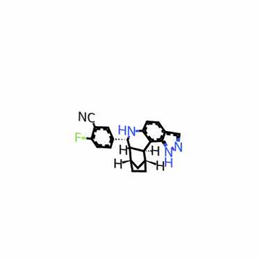 N#Cc1cc([C@@H]2Nc3ccc4cn[nH]c4c3[C@H]3[C@@H]4CC[C@@H](C4)[C@H]32)ccc1F